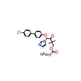 CCCCCC(=O)OCC(C)(C)C(=O)C(Oc1ccc(-c2ccc(Cl)cc2)cc1)n1ccnc1